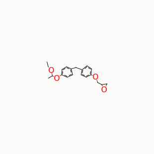 CCOC(C)Oc1ccc(Cc2ccc(OCC3CO3)cc2)cc1